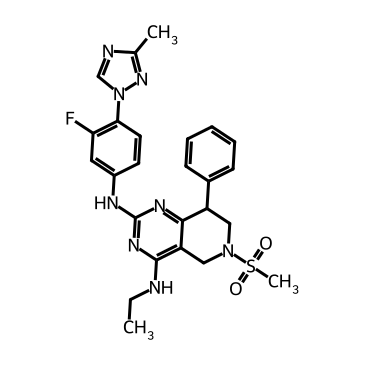 CCNc1nc(Nc2ccc(-n3cnc(C)n3)c(F)c2)nc2c1CN(S(C)(=O)=O)CC2c1ccccc1